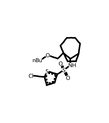 CCCCOCC12CCCCC(CC1)C2NS(=O)(=O)c1ccc(Cl)s1